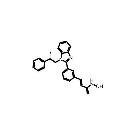 C=C(/C=C/c1cccc(-c2nc3ccccc3n2C[C@@H](C)c2ccccc2)c1)NO